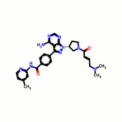 Cc1ccnc(NC(=O)c2ccc(-c3nn([C@@H]4CCN(C(=O)/C=C/CN(C)C)C4)c4ncnc(N)c34)cc2)c1